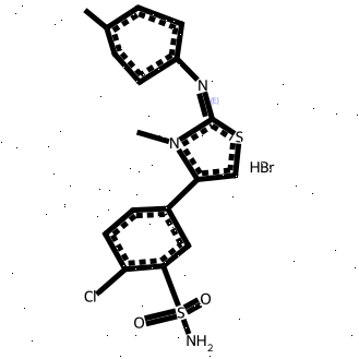 Br.Cc1ccc(/N=c2/scc(-c3ccc(Cl)c(S(N)(=O)=O)c3)n2C)cc1